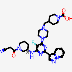 N#CCC(=O)N1CCC[C@@H](Nc2nc(-c3cnn4ccccc34)nc(N3CCN(CC4CCN(C(=O)O)CC4)CC3)c2F)C1